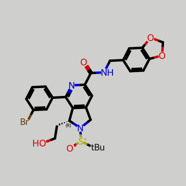 CC(C)(C)[S+]([O-])N1Cc2cc(C(=O)NCc3ccc4c(c3)OCO4)nc(-c3cccc(Br)c3)c2[C@H]1CCO